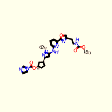 CC(C)(C)OC(=O)NCCc1coc(-c2cccc(Nc3cc([C@H]4CC[C@@H](OC(=O)n5ccnc5)C4)nn3C(C)(C)C)n2)n1